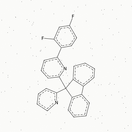 Fc1ccc(-c2cccc(C3(c4ccccn4)c4ccccc4-c4ccccc43)n2)c(F)c1